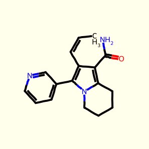 C/C=C\c1c(C(N)=O)c2n(c1-c1cccnc1)CCCC2